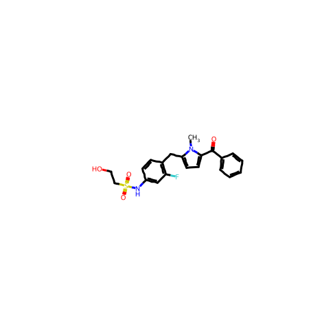 Cn1c(Cc2ccc(NS(=O)(=O)CCO)cc2F)ccc1C(=O)c1ccccc1